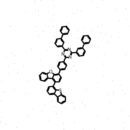 c1ccc(-c2cccc(-c3nc(-c4ccc(-c5ccc(-c6cccc7c6sc6ccccc67)c6c5oc5ccccc56)cc4)nc(-c4cccc(-c5ccccc5)c4)n3)c2)cc1